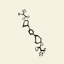 CCC(F)C(=O)OC1CCC(c2ccc(C3CCC(OC(=O)C(F)CC)CC3)cc2)CC1